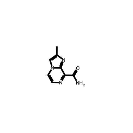 Cc1cn2ccnc(C(N)=O)c2n1